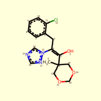 CC1(C(O)=C(Cc2ccccc2Cl)n2cncn2)COCOC1